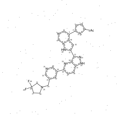 CC(=O)c1ccc(-c2cncc3[nH]c(-c4n[nH]c5ccc(-c6cncc(CN7CCC(F)(F)C7)c6)nc45)cc23)s1